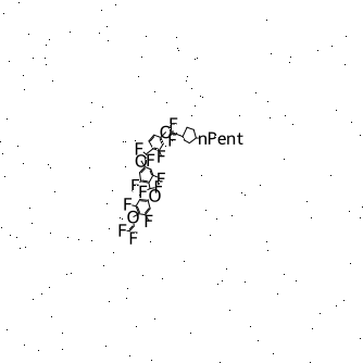 CCCCCC1CCC(C(F)(F)Oc2ccc(C(F)(F)Oc3cc(F)c(C(F)(F)Oc4cc(F)c(OC=C(F)F)c(F)c4)c(F)c3)c(F)c2)CC1